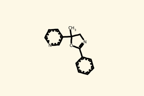 CC1(c2cccnc2)CN=C(c2ccccc2)O1